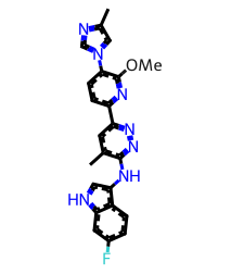 COc1nc(-c2cc(C)c(Nc3c[nH]c4cc(F)ccc34)nn2)ccc1-n1cnc(C)c1